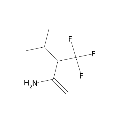 C=C(N)C(C(C)C)C(F)(F)F